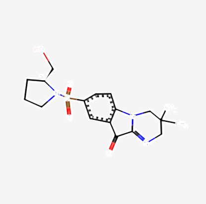 CC1(C)CN=C2C(=O)c3cc(S(=O)(=O)N4CCC[C@H]4CO)ccc3N2C1